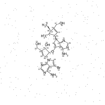 CC1[C@H](n2cc(OC3[C@H](n4cc(Br)c5c(N)ncnc54)C=C(CO)[C@@H]3O)c3c(N)ncnc32)C=C(CO)[C@@H]1C